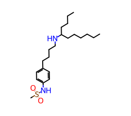 CCCCCCC(CCCC)NCCCCc1ccc(NS(C)(=O)=O)cc1